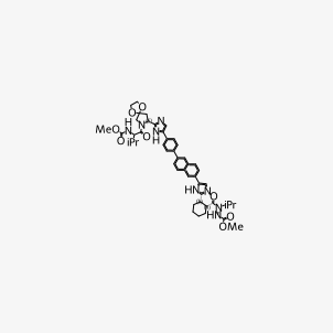 COC(=O)NC(C(=O)N1CC2(C[C@H]1c1ncc(-c3ccc(-c4ccc5cc(-c6cnc([C@H]7CCCC[C@H]7C(=O)N(NC(=O)OC)C(C)C)[nH]6)ccc5c4)cc3)[nH]1)OCCO2)C(C)C